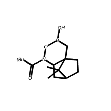 CC(C)(C)C(=O)N1OB(O)CC23CCC(CC12)C3(C)C